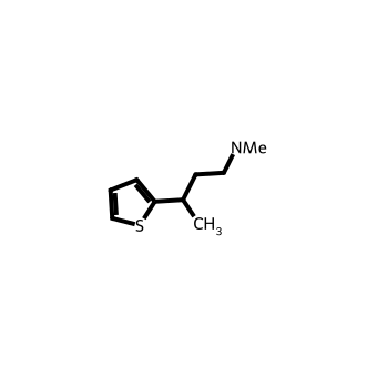 CNCCC(C)c1cccs1